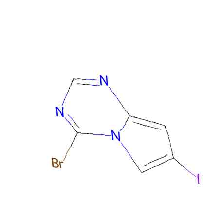 Brc1ncnc2cc(I)cn12